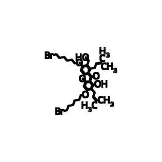 CC(C)=CCc1c(OCCCCCCBr)cc2oc3cc(OCCCCCCBr)c(CO)c(CC=C(C)C)c3c(=O)c2c1O